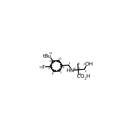 CC(CO)(NCc1ccc(F)c(C(C)(C)C)c1)C(=O)O